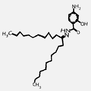 CCCCCCCCCCCC(CCCCCCCCCCC)=NNC(=O)c1ccc(N)cc1O